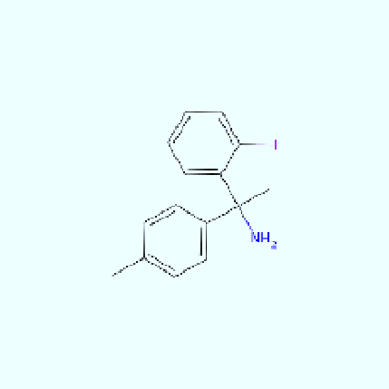 Cc1ccc(C(C)(N)c2ccccc2I)cc1